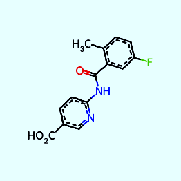 Cc1ccc(F)cc1C(=O)Nc1ccc(C(=O)O)cn1